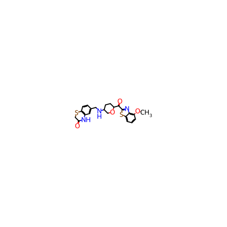 COc1cccc2sc(C(=O)C3CCC(NCc4ccc5c(c4)NC(=O)CS5)CO3)nc12